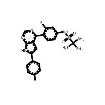 BC(B)(B)S(=O)(=O)Nc1ccc(-c2ncnc3[nH]c(-c4ccc(F)cc4)cc23)c(F)c1